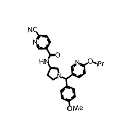 COc1ccc(C(c2ccc(OC(C)C)nc2)N2CCC(NC(=O)c3ccc(C#N)nc3)C2)cc1